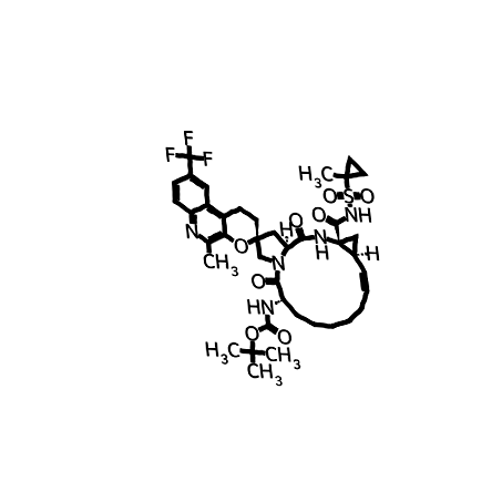 Cc1nc2ccc(C(F)(F)F)cc2c2c1O[C@]1(CC2)C[C@H]2C(=O)N[C@]3(C(=O)NS(=O)(=O)C4(C)CC4)C[C@H]3/C=C\CCCCC[C@H](NC(=O)OC(C)(C)C)C(=O)N2C1